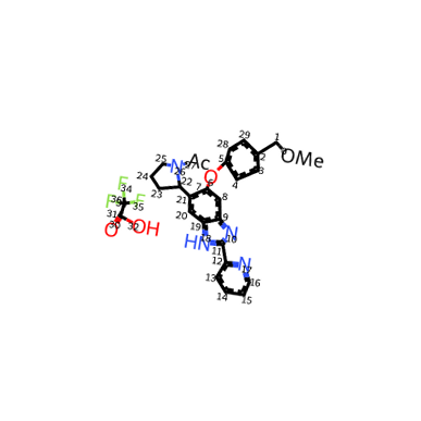 COCc1ccc(Oc2cc3nc(-c4ccccn4)[nH]c3cc2C2CCCN2C(C)=O)cc1.O=C(O)C(F)(F)F